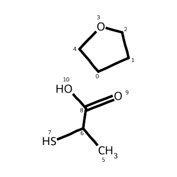 C1CCOC1.CC(S)C(=O)O